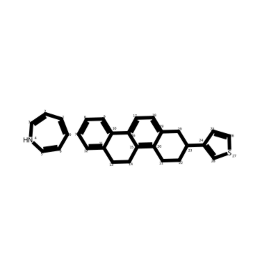 C1=CC=CNC=C1.c1ccc2c(c1)CCc1c-2ccc2c1CCC(c1ccsc1)C2